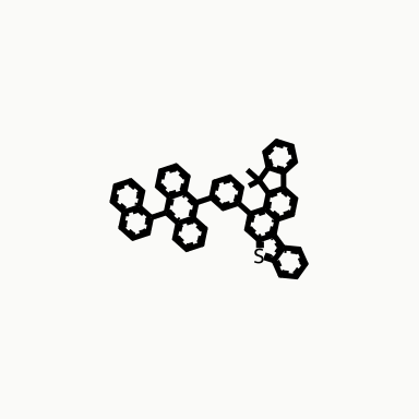 CC1(C)c2ccccc2-c2ccc3c(c(-c4cccc(-c5c6ccccc6c(-c6cccc7ccccc67)c6ccccc56)c4)cc4sc5ccccc5c43)c21